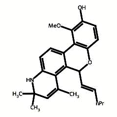 CCC/C=C/C1Oc2ccc(O)c(OC)c2-c2ccc3c(c21)C(C)=CC(C)(C)N3